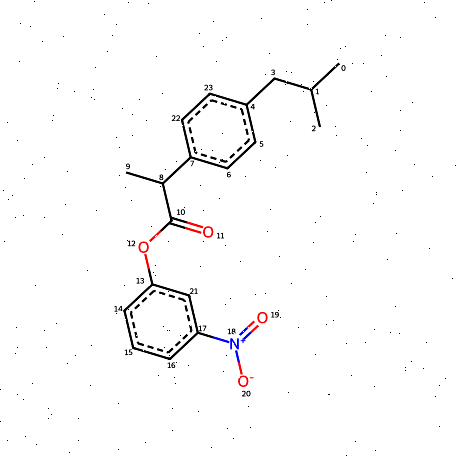 CC(C)Cc1ccc(C(C)C(=O)Oc2cccc([N+](=O)[O-])c2)cc1